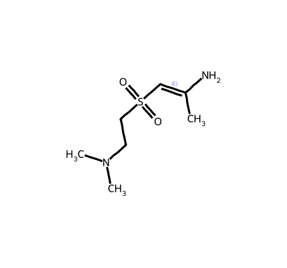 C/C(N)=C\S(=O)(=O)CCN(C)C